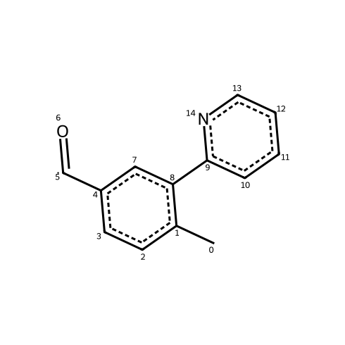 Cc1ccc([C]=O)cc1-c1ccccn1